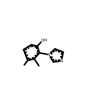 Cc1ccc(O)c(-n2ccnc2)c1C